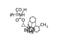 Cc1ccc2oc3c(Br)c2c1-c1cccc-3c1-c1nnnn1C1CC1OC(=O)N[C@H](C(=O)O)C(C)C